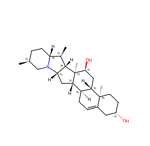 C[C@H]1CC[C@@H]2[C@@H](C)[C@H]3[C@H](C[C@H]4[C@@H]5CC=C6C[C@@H](O)CC[C@]6(C)[C@H]5C[C@H](O)[C@]34C)N2C1